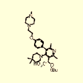 Cc1nc(C)c([C@H](OC(C)(C)C)C(=O)O)c(N2CCC(C)(C)CC2)c1-c1ccc(OCCN2CCN(C)CC2)cc1